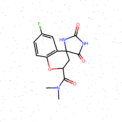 CN(C)C(=O)C1CC2(NC(=O)NC2=O)c2cc(F)ccc2O1